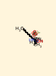 CCCCCCCCCCCCNC(C)(CCC)[N+](C)(C)O.[O-][Cl+3]([O-])([O-])[O-]